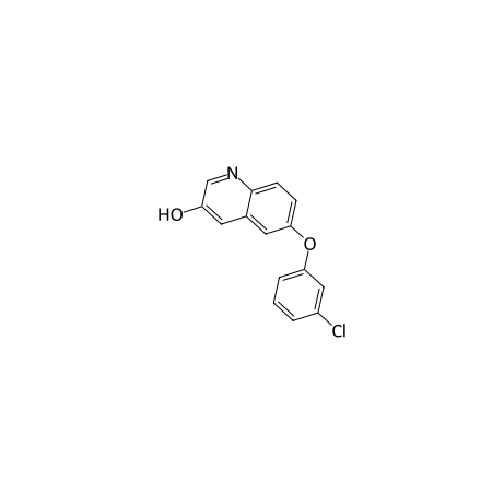 Oc1cnc2ccc(Oc3cccc(Cl)c3)cc2c1